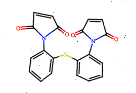 O=C1C=CC(=O)N1c1ccccc1Sc1ccccc1N1C(=O)C=CC1=O